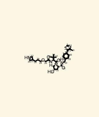 Cc1ncsc1-c1ccc(CNC(=O)[C@@H]2C[C@@H](O)CN2C(=O)[C@@H](NC(=O)COCCCC2CNC2)C(C)(C)C)cc1